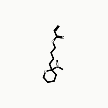 C=CC(=O)OCCCCC1([SiH](C)C)CCCCO1